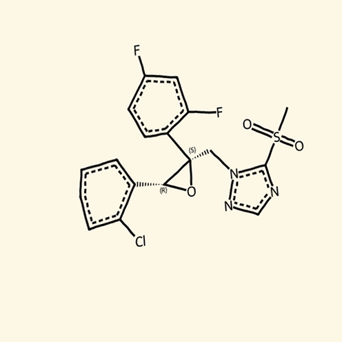 CS(=O)(=O)c1ncnn1C[C@]1(c2ccc(F)cc2F)O[C@@H]1c1ccccc1Cl